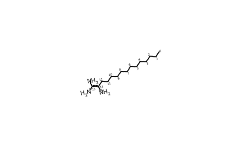 CCCCCCCCCCCCCC(N)=C(N)N